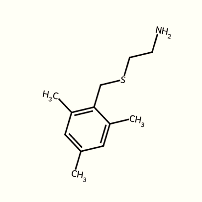 Cc1cc(C)c(CSCCN)c(C)c1